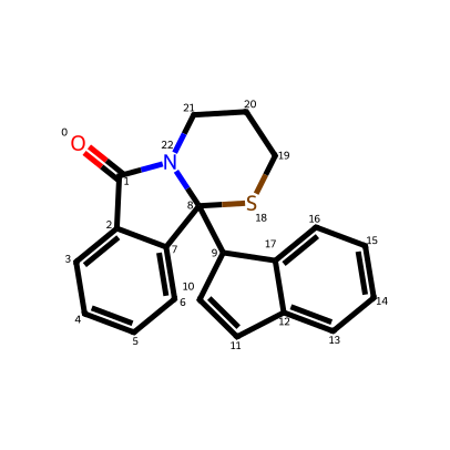 O=C1c2ccccc2C2(C3C=Cc4ccccc43)SCCCN12